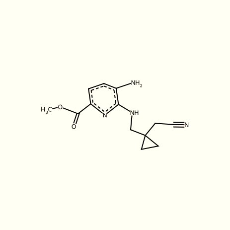 COC(=O)c1ccc(N)c(NCC2(CC#N)CC2)n1